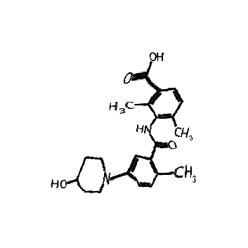 Cc1ccc(N2CCC(O)CC2)cc1C(=O)Nc1c(C)ccc(C(=O)O)c1C